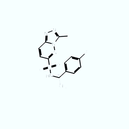 Cc1nnc2ccc(S(=O)(=O)N[C@H](c3ccc(F)cc3)C(F)(F)F)nn12